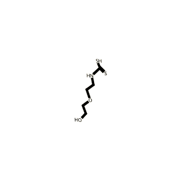 OCCOCCNC(=S)S